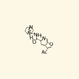 CC(=O)c1coc2cnc(C(=O)N[C@H]3CN4CCC3CC4)cc12